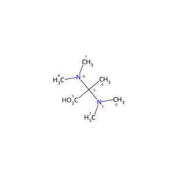 CN(C)C(C)(C(=O)O)N(C)C